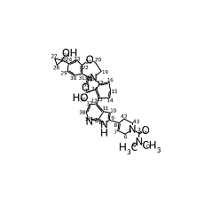 CN(C)C(=O)N1CC=C(c2cc3c(-c4cccc(N5CCOc6cc(C7(O)CC7)ccc6C5=O)c4CO)ccnc3[nH]2)CC1